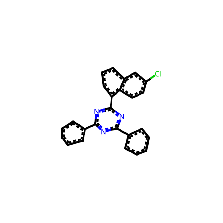 Clc1ccc2c(-c3nc(-c4ccccc4)nc(-c4ccccc4)n3)cccc2c1